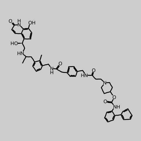 Cc1c(CNC(=O)Cc2ccc(CNC(=O)CCN3CCC(OC(=O)Nc4ccccc4-c4ccccc4)CC3)cc2)cccc1CC(C)NC[C@@H](O)c1ccc(O)c2[nH]c(=O)ccc12